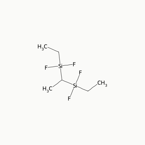 CC[Si](F)(F)C(C)[Si](F)(F)CC